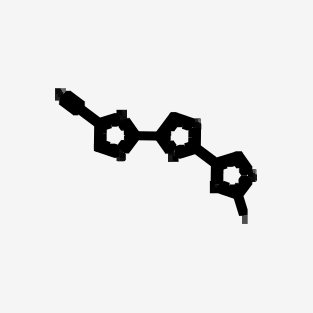 N#Cc1csc(-c2csc(-c3csc(I)n3)n2)n1